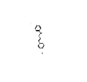 CCOc1ccc(C=CCC(=O)c2ccc(N)cc2)cc1